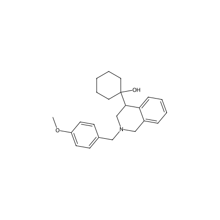 COc1ccc(CN2Cc3ccccc3C(C3(O)CCCCC3)C2)cc1